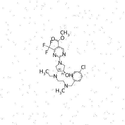 CCN(CCN(C)Cc1ccc(Cl)cc1)[C@@H]1CN(c2ncc(C(=O)OC)c(C(F)(F)F)n2)C[C@H]1O